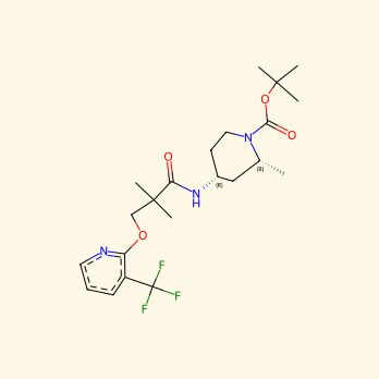 C[C@@H]1C[C@H](NC(=O)C(C)(C)COc2ncccc2C(F)(F)F)CCN1C(=O)OC(C)(C)C